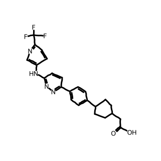 O=C(O)CC1CCC(c2ccc(-c3ccc(Nc4ccc(C(F)(F)F)nc4)nn3)cc2)CC1